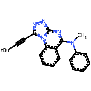 CN(c1ccccc1)c1nc2nnc(C#CC(C)(C)C)n2c2ccccc12